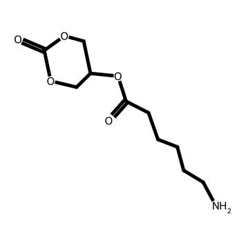 NCCCCCC(=O)OC1COC(=O)OC1